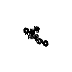 O=C(CN1CCN(c2ccccc2)CC1)Nc1cc(-c2nccs2)nc(-c2ccccn2)n1